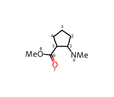 CNC1CCCC1C(=O)OC